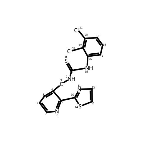 S=C(NCc1cccnc1-c1nccs1)Nc1cccc(Cl)c1Cl